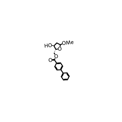 COC1C[C@H](O)[C@@H](COC(=O)c2ccc(-c3ccccc3)cc2)O1